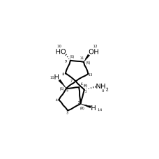 N[C@@H]1[C@@H]2CC[C@@H](C2)C12C[C@H](O)[C@@H](O)C2